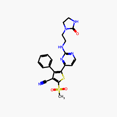 CS(=O)(=O)c1sc(-c2ccnc(NCCN3CCNC3=O)n2)c(-c2ccccc2)c1C#N